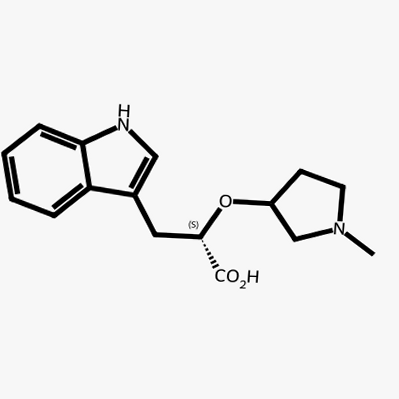 CN1CCC(O[C@@H](Cc2c[nH]c3ccccc23)C(=O)O)C1